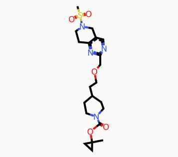 CC1(OC(=O)N2CCC(CCOCc3ncc4c(n3)CCN(S(C)(=O)=O)C4)CC2)CC1